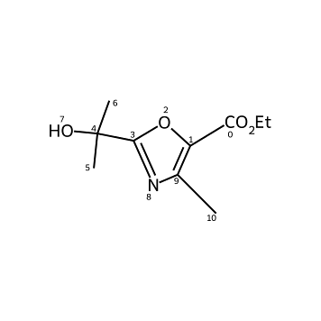 CCOC(=O)c1oc(C(C)(C)O)nc1C